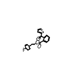 O=C(OCCc1ccc(F)cc1)c1ccccc1C(=O)c1cccs1